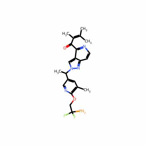 CC(C)=C(C)C(=O)c1nccc2nn(C(C)c3cnc(OCC(F)(F)P)c(C)c3)cc12